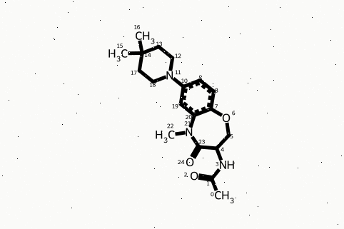 CC(=O)NC1COc2ccc(N3CCC(C)(C)CC3)cc2N(C)C1=O